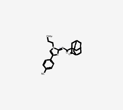 COCCn1cc(-c2ccc(C#N)cc2)s/c1=N\C(=O)C12CC3CC(CC(C3)C1=O)C2